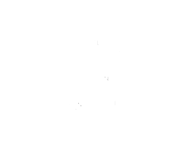 O=[N+]([O-])c1ccc(C(Cl)Cl)nc1C(Cl)(Cl)Cl